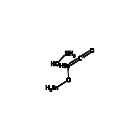 O=[C]=[SnH][O][SnH3].O[SiH3]